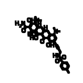 Cc1ccc(S(=O)(=O)NCC#Cc2cc(N(C)C)c3c(c2O)C(=O)C2=C(O)[C@]4(O)C(=O)C(C(N)=O)=C(O)C(N(C)C)[C@@H]4C[C@@H]2C3)cc1